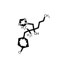 CCCCC(O)(Cn1cncn1)C(C)(C)Cc1ccc(Cl)cc1